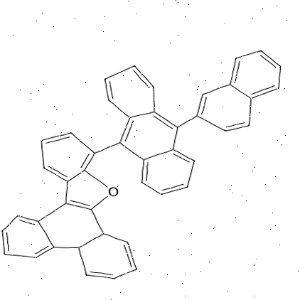 C1=CC2c3ccccc3-c3c(oc4c(-c5c6ccccc6c(-c6ccc7ccccc7c6)c6ccccc56)cccc34)C2C=C1